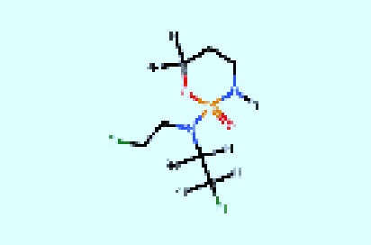 [2H]N1CCC([2H])([2H])OP1(=O)N(CCCl)C([2H])([2H])C([2H])([2H])Cl